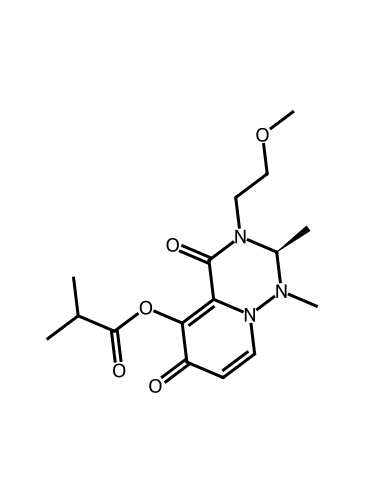 COCCN1C(=O)c2c(OC(=O)C(C)C)c(=O)ccn2N(C)[C@@H]1C